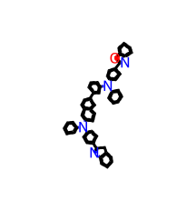 c1ccc(N(c2ccc(-c3nc4ccccc4o3)cc2)c2cccc(-c3ccc4cc(N(c5ccccc5)c5ccc(C6=Nc7ccccc7C6)cc5)ccc4c3)c2)cc1